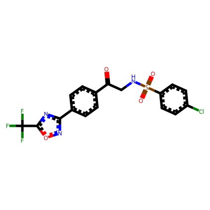 O=C(CNS(=O)(=O)c1ccc(Cl)cc1)c1ccc(-c2noc(C(F)(F)F)n2)cc1